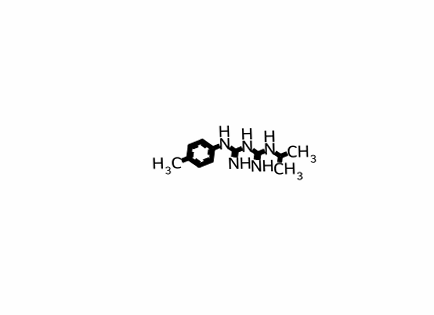 Cc1ccc(NC(=N)NC(=N)NC(C)C)cc1